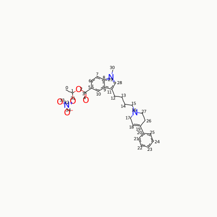 CC(OC(=O)c1ccc2c(c1)c(CCCCN1CC=C(c3ccccc3)CC1)cn2C)O[N+](=O)[O-]